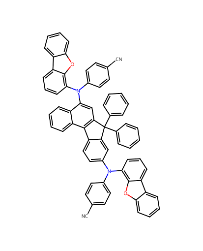 N#Cc1ccc(N(c2ccc3c(c2)C(c2ccccc2)(c2ccccc2)c2cc(N(c4ccc(C#N)cc4)c4cccc5c4oc4ccccc45)c4ccccc4c2-3)c2cccc3c2oc2ccccc23)cc1